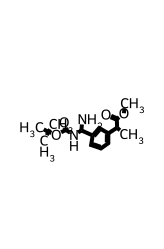 COC(=O)C(C)c1cccc(C(N)NC(=O)OC(C)(C)C)c1